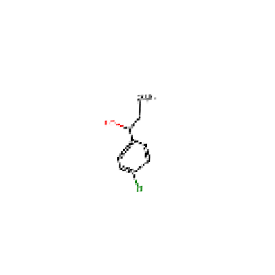 CCOC(=O)CC(O)c1ccc(Cl)cc1